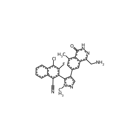 Cc1cc(-c2cnn(C)c2-c2c(F)c(Cl)c3ccccc3c2C#N)cc2c(CN)n[nH]c(=O)c12